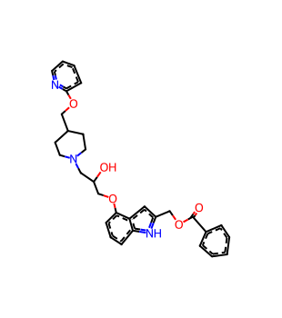 O=C(OCc1cc2c(OCC(O)CN3CCC(COc4ccccn4)CC3)cccc2[nH]1)c1ccccc1